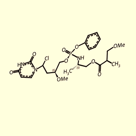 COCC(C)C(=O)OC[C@H](C)NP(=O)(OC[C@H](CC(Cl)n1ccc(=O)[nH]c1=O)OC)Oc1ccccc1